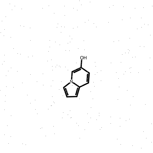 Oc1ccc2cccn2c1